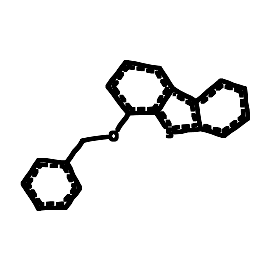 c1ccc(COc2cccc3c2sc2ccccc23)cc1